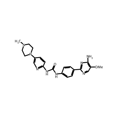 COc1cnc(-c2ccc(NC(=O)Nc3ccc(N4CCN(C)CC4)cn3)cc2)nc1N